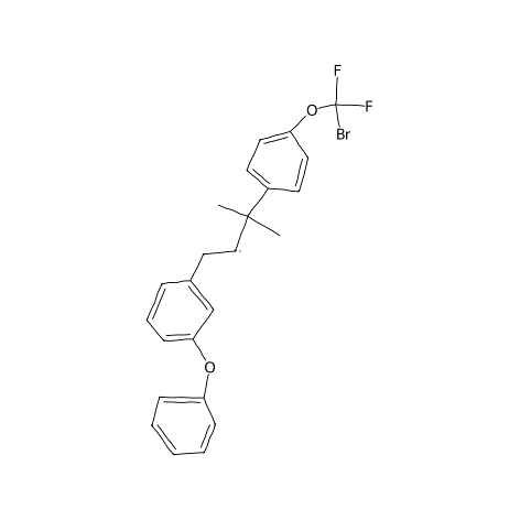 CC(C)([CH]Cc1cccc(Oc2ccccc2)c1)c1ccc(OC(F)(F)Br)cc1